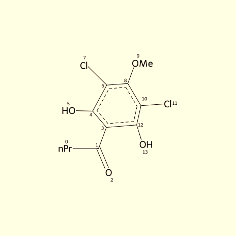 CCCC(=O)c1c(O)c(Cl)c(OC)c(Cl)c1O